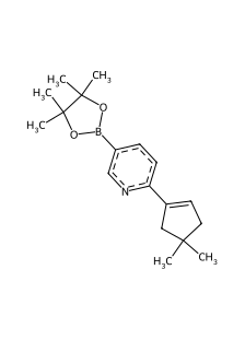 CC1(C)CC=C(c2ccc(B3OC(C)(C)C(C)(C)O3)cn2)C1